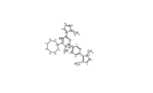 Cc1cnn(C)c1-c1ccc(NC(O)C(NC(=O)c2ccnn2C)C2CCCCCCC2)nc1